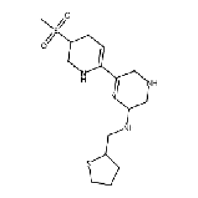 CS(=O)(=O)C1CC=C(C2=NC(NCC3CCCS3)CNC2)NC1